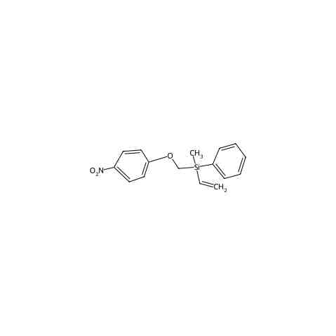 C=C[Si](C)(COc1ccc([N+](=O)[O-])cc1)c1ccccc1